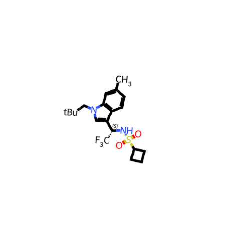 Cc1ccc2c([C@H](NS(=O)(=O)C3CCC3)C(F)(F)F)cn(CC(C)(C)C)c2c1